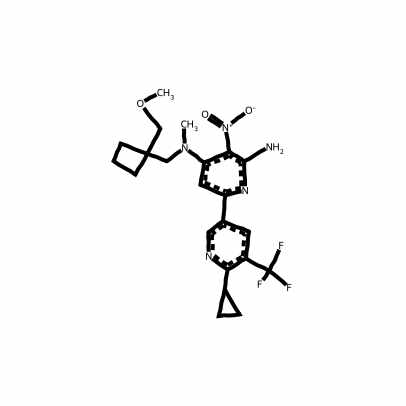 COCC1(CN(C)c2cc(-c3cnc(C4CC4)c(C(F)(F)F)c3)nc(N)c2[N+](=O)[O-])CCC1